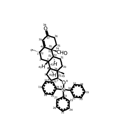 C[C@H]1C[C@H]2[C@@H]3CC[C@H](O[Si](c4ccccc4)(c4ccccc4)c4ccccc4)[C@@]3(C)CC[C@@H]2[C@@]2(C=O)CCC(=O)C=C12